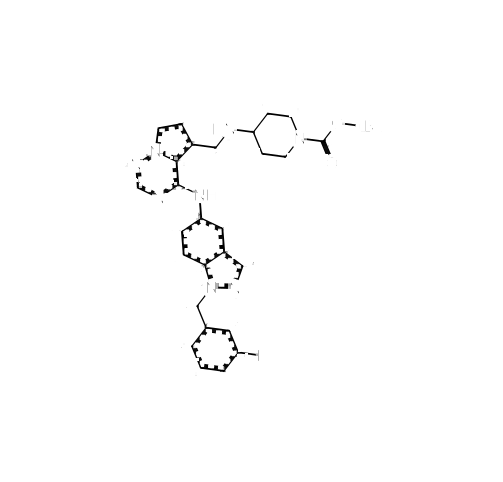 CC(C)(C)OC(=O)N1CCC(NCc2ccn3ncnc(Nc4ccc5c(cnn5Cc5cccc(F)c5)c4)c23)CC1